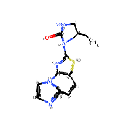 CC1CNC(=O)N1c1nc2c(ccc3nccn32)s1